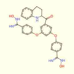 N=C(NO)c1ccc(Oc2cc(Oc3ccc(C(=N)NO)cc3)cc(C(=O)C3CCc4ccccc4N3)c2)cc1